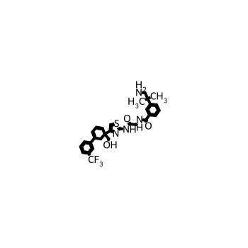 CC(C)(CN)c1cccc(C(=O)NCC(=O)Nc2nc(C3(CO)C=CC=C(c4cccc(C(F)(F)F)c4)C3)cs2)c1